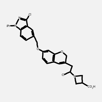 CC(C)n1nc(Cl)c2cc(COc3ccc4c(c3)OCC(CC(Cl)N3CC(C(=O)O)C3)=C4)ccc21